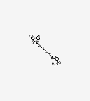 CN1C(=O)C[C@H](C(=O)NCCOCCOCCOCCOCCNc2cc(C(N)=O)ccn2)C1c1cccnc1